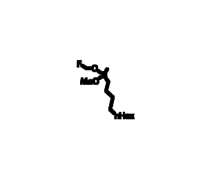 CCCCCCCCCC[Si](C)(OC)OCF